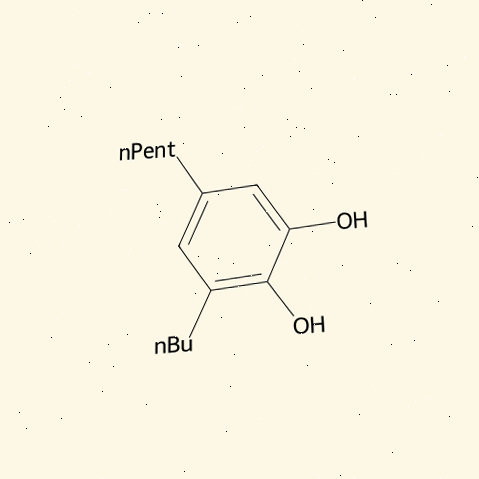 CCCCCc1cc(O)c(O)c(CCCC)c1